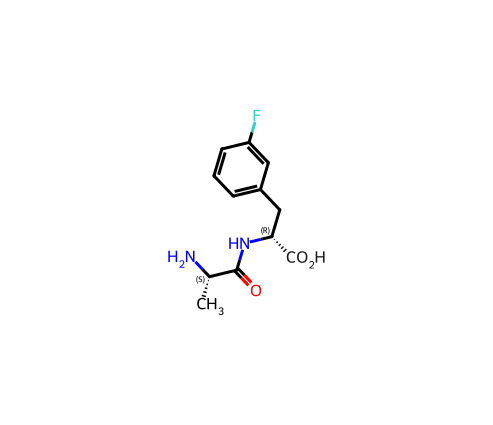 C[C@H](N)C(=O)N[C@H](Cc1cccc(F)c1)C(=O)O